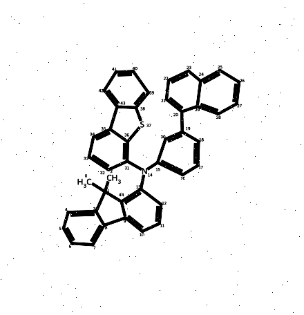 CC1(C)c2ccccc2-c2cccc(N(c3cccc(-c4cccc5ccccc45)c3)c3cccc4c3sc3ccccc34)c21